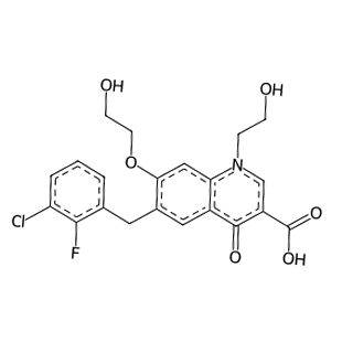 O=C(O)c1cn(CCO)c2cc(OCCO)c(Cc3cccc(Cl)c3F)cc2c1=O